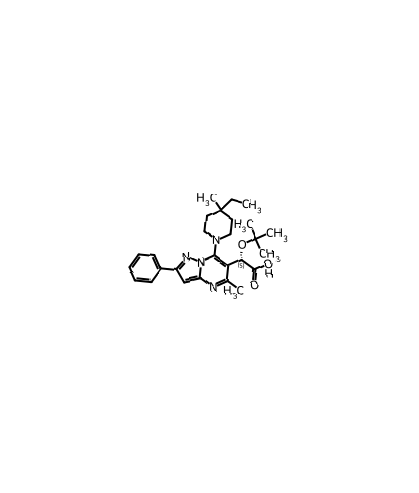 CCC1(C)CCN(c2c([C@H](OC(C)(C)C)C(=O)O)c(C)nc3cc(-c4ccccc4)nn23)CC1